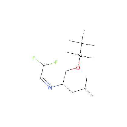 CC(C)C[C@@H](CO[Si](C)(C)C(C)(C)C)/N=C\C(F)F